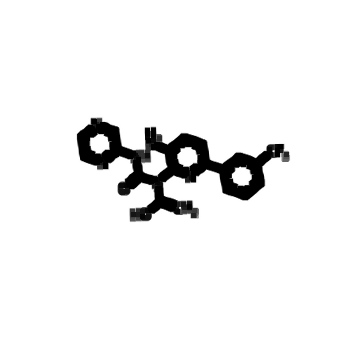 C=C(O)N(C(=O)Nc1cnccn1)c1nc(-c2cccc(C(F)(F)F)c2)ccc1N